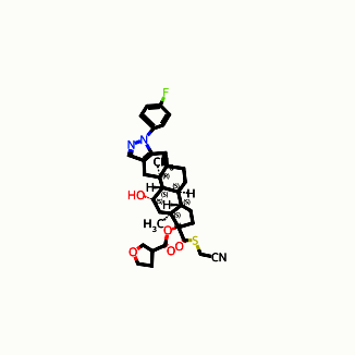 C[C@]12Cc3cnn(-c4ccc(F)cc4)c3C=C1CC[C@@H]1[C@@H]2[C@@H](O)C[C@@]2(C)[C@H]1CC[C@]2(OC(=O)C1CCOC1)C(=O)SCC#N